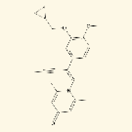 CC#C/C(=C\n1c(C)cc(=O)cc1C)c1ccc(OC)c(OCC2CC2)c1